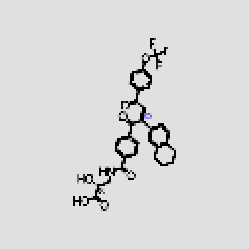 O=C(/C=C(\C(=O)c1ccc(C(=O)NC[C@@H](O)C(=O)O)cc1)c1ccc2c(c1)CCCC2)c1ccc(OC(F)(F)F)cc1